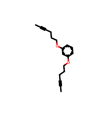 CC#CCCCOc1[c]ccc(OCCCC#CC)c1